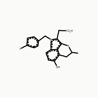 CC1Cc2c(O)ccc3c2c(c(CC(=O)O)n3Cc2ccc(F)cc2)S1